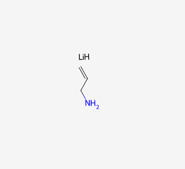 C=CCN.[LiH]